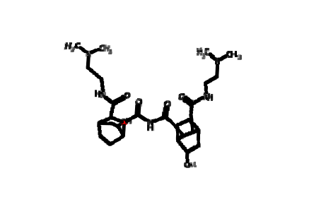 CN(C)CCNC(=O)C1C2CCC(C(O)C2)C1C(=O)NC(=O)C1C2CCC(CC2O)C1C(=O)NCCN(C)C